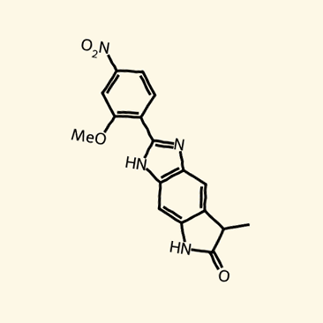 COc1cc([N+](=O)[O-])ccc1-c1nc2cc3c(cc2[nH]1)NC(=O)C3C